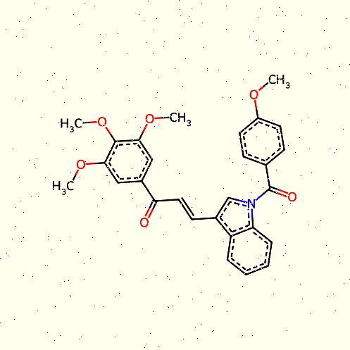 COc1ccc(C(=O)n2cc(C=CC(=O)c3cc(OC)c(OC)c(OC)c3)c3ccccc32)cc1